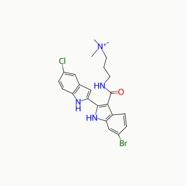 C[N+](C)(C)CCCNC(=O)c1c(-c2cc3cc(Cl)ccc3[nH]2)[nH]c2cc(Br)ccc12